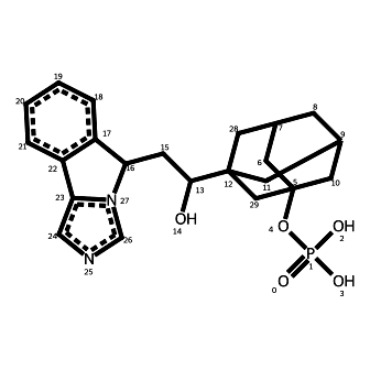 O=P(O)(O)OC12CC3CC(C1)CC(C(O)CC1c4ccccc4-c4cncn41)(C3)C2